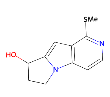 CSc1nccc2c1cc1n2CCC1O